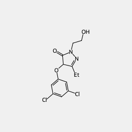 CCC1=NN(CCO)C(=O)C1Oc1cc(Cl)cc(Cl)c1